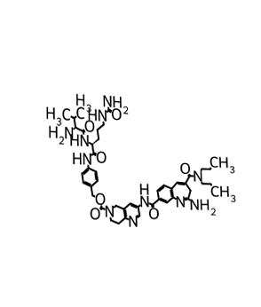 CCCN(CCC)C(=O)C1=Cc2ccc(C(=O)Nc3cnc4c(c3)CN(C(=O)OCc3ccc(NC(=O)[C@H](CCCNC(N)=O)NC(=O)[C@@H](N)C(C)C)cc3)CC4)cc2N=C(N)C1